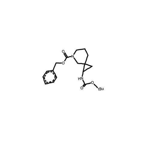 CC(C)(C)OC(=O)NC1CC12CCCN(C(=O)OCc1ccccc1)C2